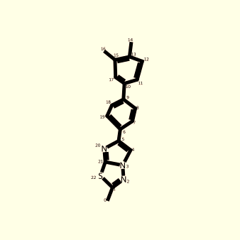 Cc1nn2cc(-c3ccc(-c4ccc(C)c(C)c4)cc3)nc2s1